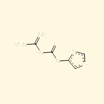 CNC(=N)NC(=O)Nc1cocn1